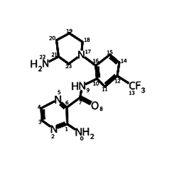 Nc1nccnc1C(=O)Nc1cc(C(F)(F)F)ccc1N1CCCC(N)C1